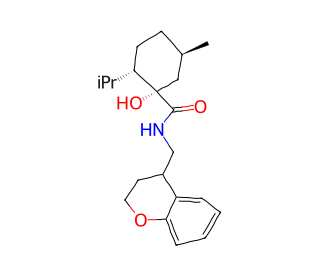 CC(C)[C@@H]1CC[C@@H](C)C[C@@]1(O)C(=O)NCC1CCOc2ccccc21